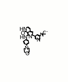 [C-]#[N+]c1cncc(-c2cc3cc[nH]c(=O)c3c(Nc3ccc(N4CCOCC4)cc3)n2)c1